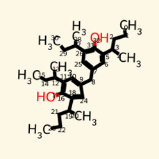 CCCC(C)c1cc(Cc2cc(C(C)CC)c(O)c(C(C)CCC)c2)cc(C(C)CC)c1O